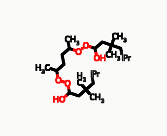 CC(C)CC(C)(C)CC(O)OOC(C)CCC(C)OOC(O)CC(C)(C)CC(C)C